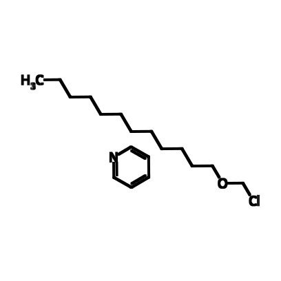 CCCCCCCCCCCCOCCl.c1ccncc1